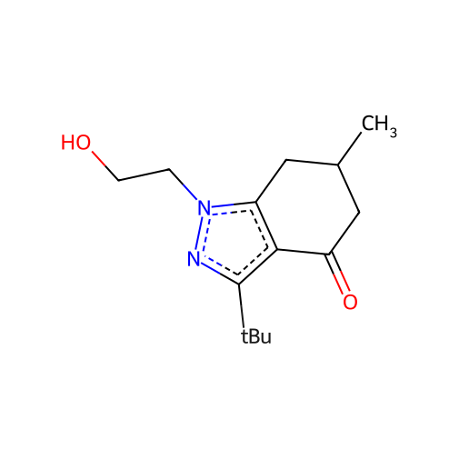 CC1CC(=O)c2c(C(C)(C)C)nn(CCO)c2C1